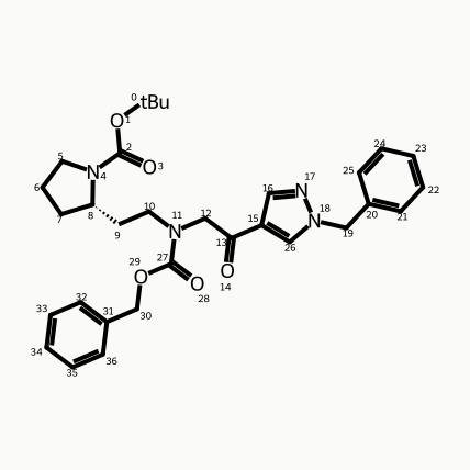 CC(C)(C)OC(=O)N1CCC[C@H]1CCN(CC(=O)c1cnn(Cc2ccccc2)c1)C(=O)OCc1ccccc1